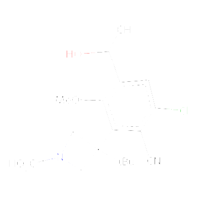 COc1c(C(C)O)cc(Cl)c(C#N)c1C1(C(C)(C)C)CN(C(=O)O)C1